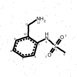 CS(=O)(=O)Nc1ccccc1CN